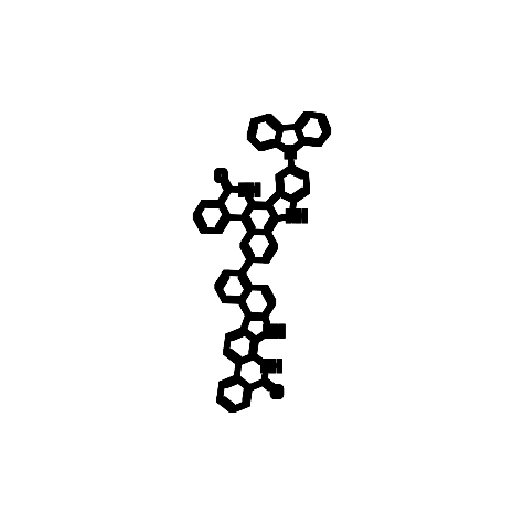 O=c1[nH]c2c(ccc3c2[nH]c2ccc4c(-c5ccc6c(c5)c5c7ccccc7c(=O)[nH]c5c5c7cc(-n8c9ccccc9c9ccccc98)ccc7[nH]c65)cccc4c23)c2ccccc12